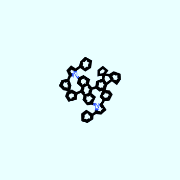 c1ccc(-c2c3ccc(-n4c(-c5ccccc5)ccc4-c4ccccc4)cc3c(-c3ccc4c(c3)C3(CCCC3)c3ccccc3-4)c3ccc(-n4c(-c5ccccc5)ccc4-c4ccccc4)cc23)cc1